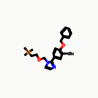 CC(C)(C)c1cc(-c2nccn2COCCS(C)(C)C)ccc1OCc1ccccc1